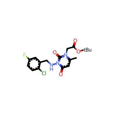 Cc1cc(=O)n(NCc2cc(F)ccc2Cl)c(=O)n1CC(=O)OC(C)(C)C